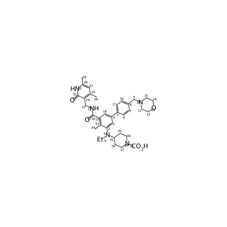 CCN(c1cc(-c2ccc(CN3CCOCC3)cc2)cc(C(=O)NCc2c(C)cc(C)[nH]c2=O)c1C)C1CCN(C(=O)O)CC1